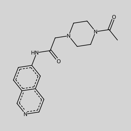 CC(=O)N1CCN(CC(=O)Nc2ccc3cnccc3c2)CC1